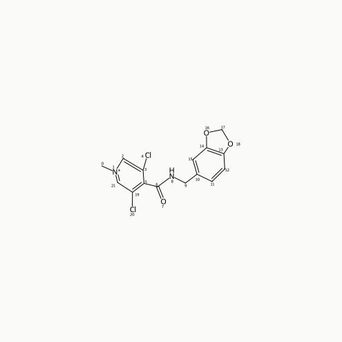 C[n+]1cc(Cl)c(C(=O)NCc2ccc3c(c2)OCO3)c(Cl)c1